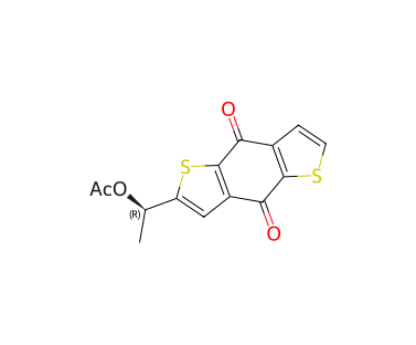 CC(=O)O[C@H](C)c1cc2c(s1)C(=O)c1ccsc1C2=O